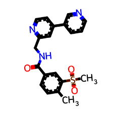 Cc1ccc(C(=O)NCc2cc(-c3cccnc3)ccn2)cc1S(C)(=O)=O